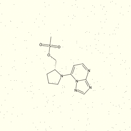 CS(=O)(=O)OC[C@H]1CCCN1c1ccnc2ncnn12